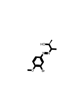 COc1ccc(N=NC(C)[C@H](C)O)cc1Br